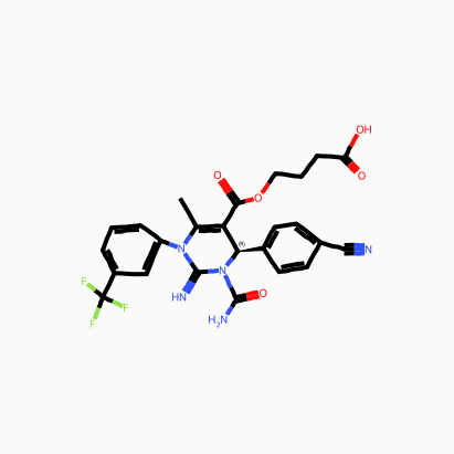 CC1=C(C(=O)OCCCC(=O)O)[C@@H](c2ccc(C#N)cc2)N(C(N)=O)C(=N)N1c1cccc(C(F)(F)F)c1